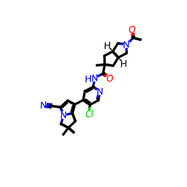 CC(=O)N1C[C@@H]2CC(C)(C(=O)Nc3cc(-c4cc(C#N)n5c4CC(C)(C)C5)c(Cl)cn3)C[C@@H]2C1